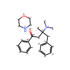 C1COCCN1.CN(C)C(C)(CC(=O)c1ccccc1)Cc1ccccc1